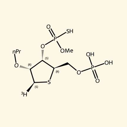 [3H][C@@H]1S[C@H](COP(=O)(O)O)[C@@H](OP(=O)(S)OC)[C@H]1OCCC